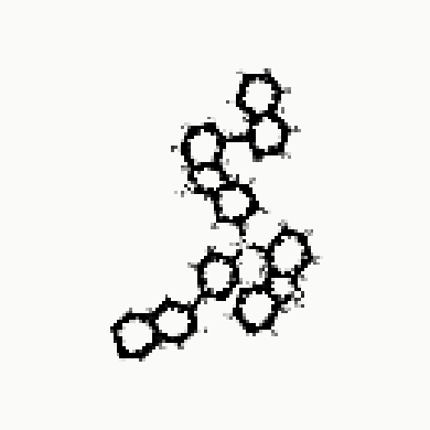 c1ccc2cc(-c3ccc(N(c4ccc5c(c4)sc4cccc(-c6cccc7ccccc67)c45)c4cccc5oc6ccccc6c45)cc3)ccc2c1